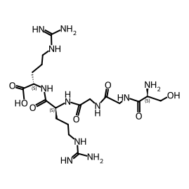 N=C(N)NCCC[C@H](NC(=O)[C@H](CCCNC(=N)N)NC(=O)CNC(=O)CNC(=O)[C@@H](N)CO)C(=O)O